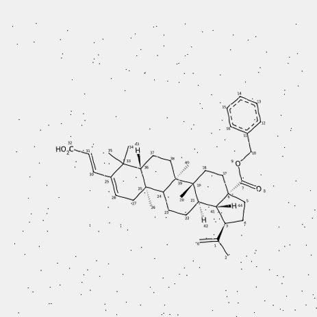 C=C(C)[C@@H]1CC[C@]2(C(=O)OCc3ccccc3)CC[C@]3(C)[C@H](CCC4[C@@]5(C)CC=C(C=CC(=O)O)C(C)(C)[C@@H]5CC[C@]43C)[C@@H]12